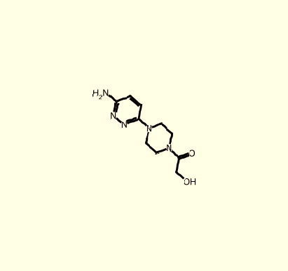 Nc1ccc(N2CCN(C(=O)CO)CC2)nn1